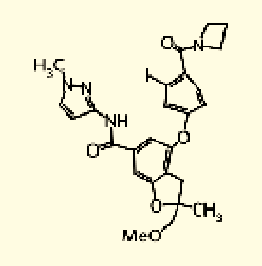 COCC1(C)Cc2c(Oc3ccc(C(=O)N4CCC4)c(I)c3)cc(C(=O)Nc3ccn(C)n3)cc2O1